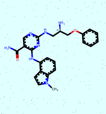 Cn1ccc2c(Nc3nc(NC[C@@H](N)COc4ccccc4)ncc3C(N)=O)cccc21